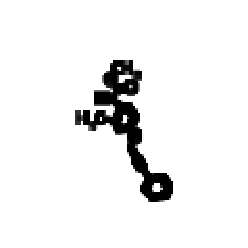 COC(=O)Nc1ccc(OCC#Cc2ccccc2)cc1C